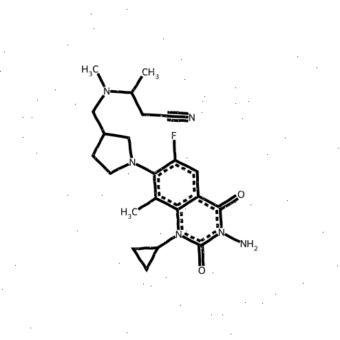 Cc1c(N2CCC(CN(C)C(C)CC#N)C2)c(F)cc2c(=O)n(N)c(=O)n(C3CC3)c12